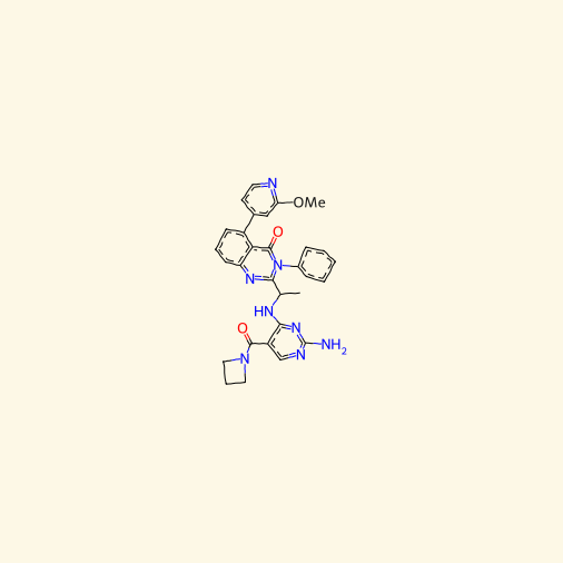 COc1cc(-c2cccc3nc(C(C)Nc4nc(N)ncc4C(=O)N4CCC4)n(-c4ccccc4)c(=O)c23)ccn1